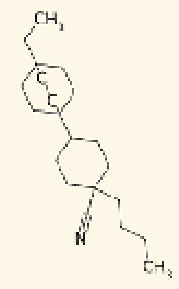 CCCCC1(C#N)CCC(C23CCC(CC)(CC2)CC3)CC1